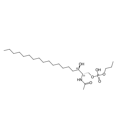 CCCCCCCCCCCCCCC[C@@H](O)[C@H](COP(=O)(O)OCCC)NC(C)=O